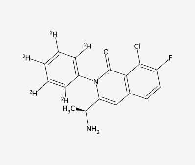 [2H]c1c([2H])c([2H])c(-n2c([C@H](C)N)cc3ccc(F)c(Cl)c3c2=O)c([2H])c1[2H]